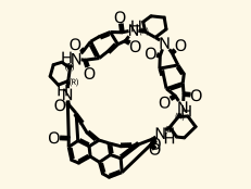 O=C1c2ccc3c4ccc5c6c7ccc(c8ccc(c2c38)C(=O)N1[C@@H]1CCCC[C@H]1n1c(=O)c2cc3c(=O)n(c(=O)c3cc2c1=O)C1CCCC[C@H]1n1c(=O)c2cc3c(=O)n(c(=O)c3cc2c1=O)[C@@H]1CCCC[C@H]1N(C5=O)C7=O)c64